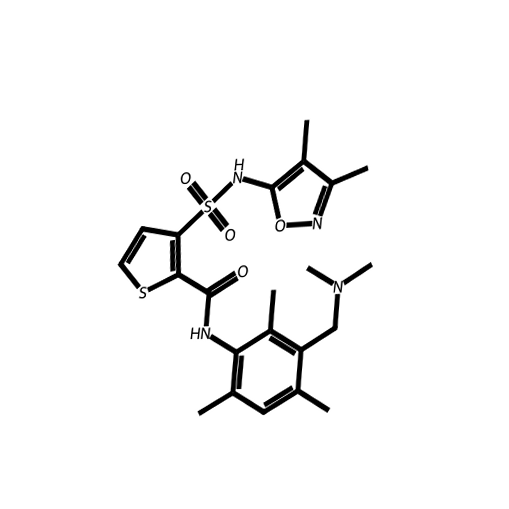 Cc1cc(C)c(NC(=O)c2sccc2S(=O)(=O)Nc2onc(C)c2C)c(C)c1CN(C)C